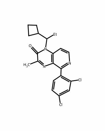 CCC(C1CCC1)n1c(=O)c(C)nc2c(-c3ccc(Cl)cc3Cl)nccc21